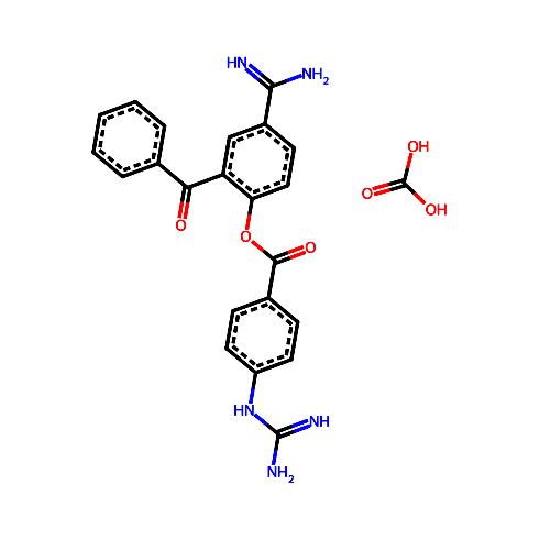 N=C(N)Nc1ccc(C(=O)Oc2ccc(C(=N)N)cc2C(=O)c2ccccc2)cc1.O=C(O)O